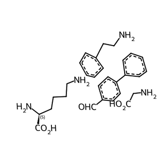 NCC(=O)O.NCCCC[C@H](N)C(=O)O.NCCc1ccccc1.O=Cc1ccc(-c2ccccc2)cc1